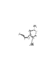 Nc1ncc(Br)c(C=O)n1